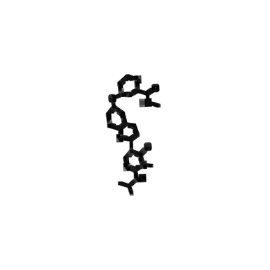 CNC(=O)c1cc(Oc2ccc3nc(-c4cnc(NC(C)C)n(C)c4=O)ccc3c2)ccn1